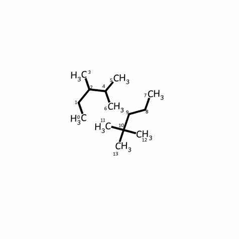 CCC(C)C(C)C.CCCC(C)(C)C